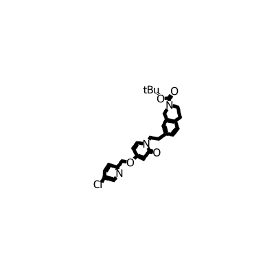 CC(C)(C)OC(=O)N1CCc2ccc(CCn3ccc(OCc4ccc(Cl)cn4)cc3=O)cc2C1